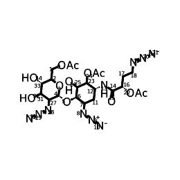 CC(=O)OCC1O[C@H](O[C@@H]2C(N=[N+]=[N-])C[C@@H](NC(=O)[C@H](CCN=[N+]=[N-])OC(C)=O)C(OC(C)=O)C2O)C(N=[N+]=[N-])C(O)[C@@H]1O